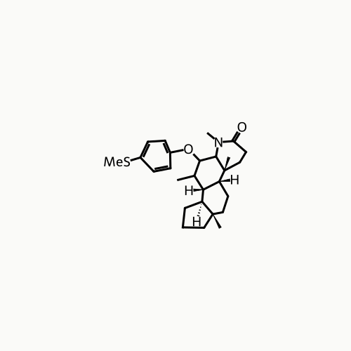 CSc1ccc(OC2C(C)[C@@H]3[C@@H](CC[C@]4(C)CCC[C@@H]34)[C@@]3(C)CCC(=O)N(C)C23)cc1